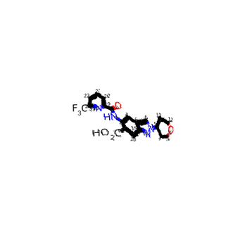 O=C(Nc1cc2cn(C3CCOCC3)nc2cc1C(=O)O)c1cccc(C(F)(F)F)n1